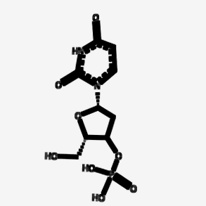 O=c1ccn([C@@H]2CC(OP(=O)(O)O)[C@H](CO)O2)c(=O)[nH]1